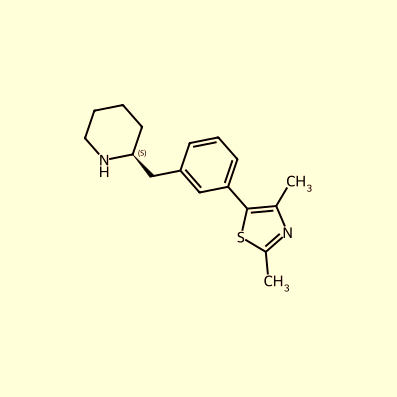 Cc1nc(C)c(-c2cccc(C[C@@H]3CCCCN3)c2)s1